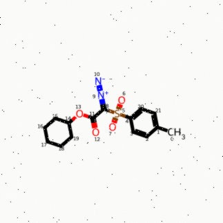 Cc1ccc(S(=O)(=O)C(=[N+]=[N-])C(=O)OC2CCCCC2)cc1